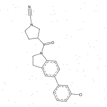 N#CN1CCC(C(=O)N2CCc3cc(-c4cccc(Cl)c4)ccc32)C1